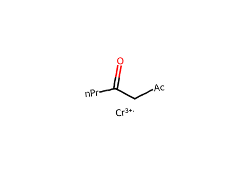 CCCC(=O)CC(C)=O.[Cr+3]